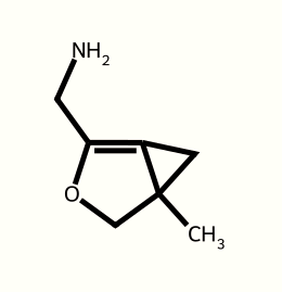 CC12COC(CN)=C1C2